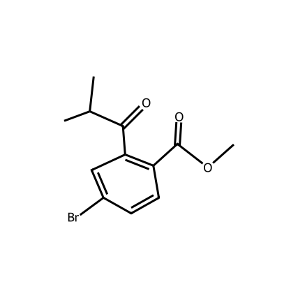 COC(=O)c1ccc(Br)cc1C(=O)C(C)C